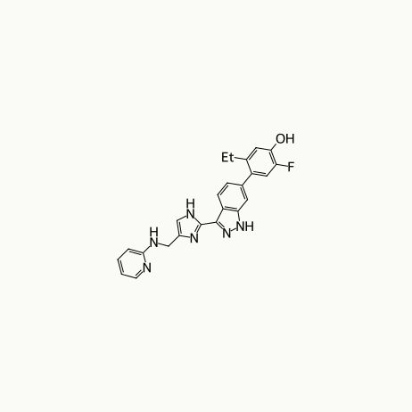 CCc1cc(O)c(F)cc1-c1ccc2c(-c3nc(CNc4ccccn4)c[nH]3)n[nH]c2c1